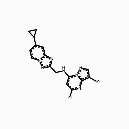 CC(C)c1cnn2c(NCc3nc4cc(C5CC5)ccn4n3)cc(Cl)nc12